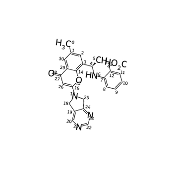 Cc1cc([C@@H](C)Nc2ccccc2C(=O)O)c2oc(N3Cc4cncnc4C3)cc(=O)c2c1